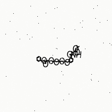 CC(C)(C)OC(=O)CNC(=O)c1cccc(OCCOCCOCCOCCC(=O)OCc2ccccc2)c1